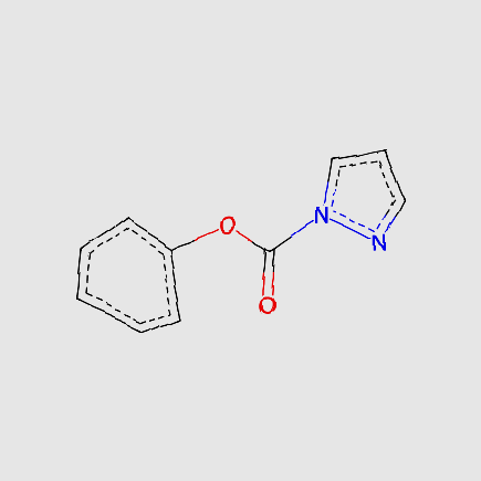 O=C(Oc1ccccc1)n1cccn1